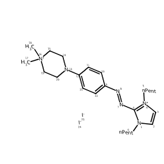 CCCCCn1cc[n+](CCCCC)c1/N=N/c1ccc(N2CC[N+](C)(C)CC2)cc1.[I-].[I-]